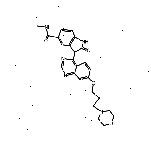 CNC(=O)c1ccc2c(c1)C(c1ncnc3cc(OCCCN4CCOCC4)ccc13)C(=O)N2